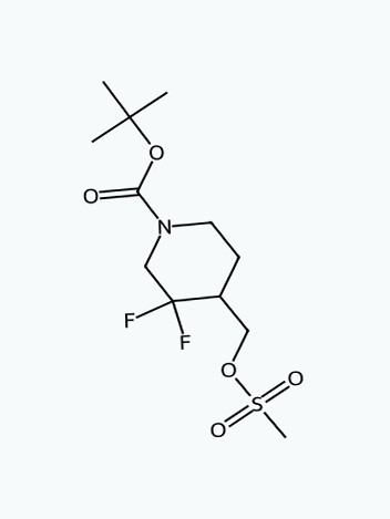 CC(C)(C)OC(=O)N1CCC(COS(C)(=O)=O)C(F)(F)C1